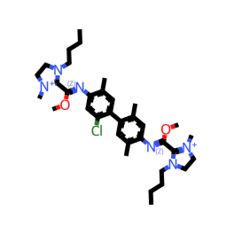 CCCCN1CC[N+](C)=C1/C(=N/c1cc(C)c(-c2cc(C)c(/N=C(\OC)C3=[N+](C)CCN3CCCC)cc2Cl)cc1C)OC